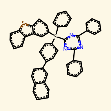 c1ccc(-c2nc(-c3ccccc3)nc([Si](c3ccccc3)(c3ccc(-c4ccc5ccccc5c4)cc3)c3ccc4sc5ccccc5c4c3)n2)cc1